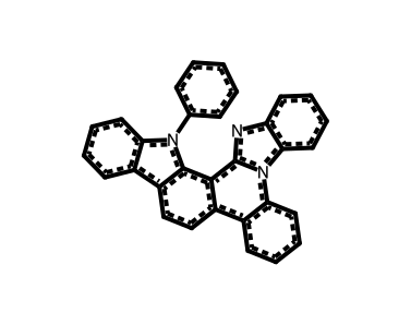 c1ccc(-n2c3ccccc3c3ccc4c5ccccc5n5c6ccccc6nc5c4c32)cc1